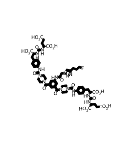 O=C(O)CCC(NC(=O)NC(Cc1ccc(NC(=O)N2CCN(C(=O)c3cc(NC(=O)Cn4cc(CCCF)nn4)cc(C(=O)N4CCN(C(=O)Nc5ccc(C[C@H](NC(=O)N[C@@H](CCC(=O)O)C(=O)O)C(=O)O)cc5)CC4)c3)CC2)cc1)C(=O)O)C(=O)O